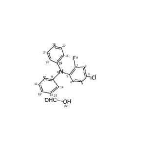 Fc1cc(Cl)ccc1N(c1ccccc1)c1ccccc1.O=CO